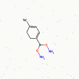 N#CC1=CC=C(B(ON)ON)CC1